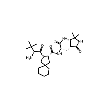 CC1(C)C[C@@H](C[C@H](NC(=O)[C@@H]2CC3(CCCCC3)CN2C(=O)[C@@H](N)C(C)(C)C)C(N)=O)C(=O)N1